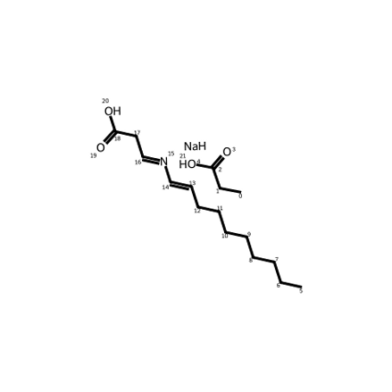 CCC(=O)O.CCCCCCCCC=CN=CCC(=O)O.[NaH]